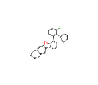 Clc1cccc(-c2cccc3c2oc2cc4ccccc4cc23)c1-c1ccccc1